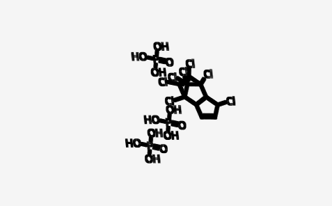 ClC1=C(Cl)C2(Cl)C3C(Cl)C=CC3C1(Cl)C2(Cl)Cl.O=P(O)(O)O.O=P(O)(O)O.O=P(O)(O)O